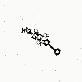 CC(C)n1cc(N2CCN3C(=O)N(c4c(F)cc(C#Cc5ccccc5)cc4F)C(=O)CC3(C)C2=O)cn1